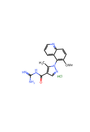 COc1ccc2ncccc2c1-n1ncc(C(=O)NC(=N)N)c1C.Cl